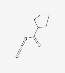 O=C=NC(=O)C1CCCC1